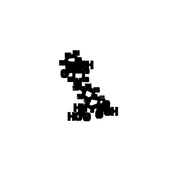 O=C(O)Nc1cc(S(=O)(=O)O)cc2ccc(CN3CC[N+](O)(c4ccccc4)C(C(=O)O)C3)cc12